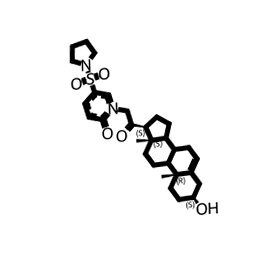 C[C@]12CC[C@H](O)CC1=CCC1C2CC[C@@]2(C)C1CC[C@@H]2C(=O)Cn1cc(S(=O)(=O)N2CCCC2)ccc1=O